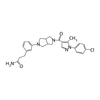 Cc1c(C(=O)N2CC3CN(c4cccc(CCC(N)=O)c4)CC3C2)cnn1-c1ccc(Cl)cc1